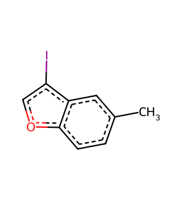 Cc1ccc2occ(I)c2c1